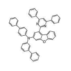 c1ccc(-c2ccc(N(c3cccc(-c4ccccc4)c3)c3cc(-c4nc(-c5ccccc5)cc(-c5ccccc5)n4)c4c(c3)oc3ccccc34)cc2)cc1